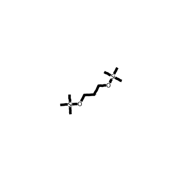 C[Si](C)(C)OC[CH]CO[Si](C)(C)C